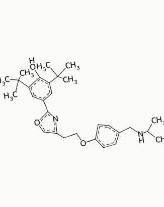 CC(C)NCc1ccc(OCCc2coc(-c3cc(C(C)(C)C)c(O)c(C(C)(C)C)c3)n2)cc1